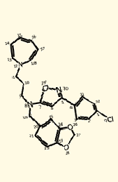 Clc1ccc(-c2cc(N(CCCN3C=CC=CC=C3)Cc3ccc4c(c3)OCO4)on2)cc1